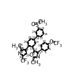 Cc1nc(-c2ccc(OC(F)(F)F)cc2)c(-c2cc(-c3cccc([S+](C)[O-])c3)ccc2-c2cc(C(F)(F)F)nn2C)o1